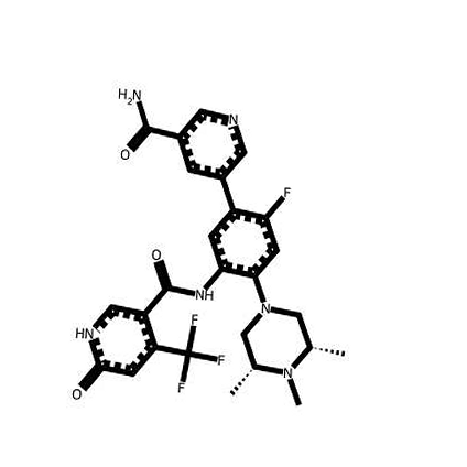 C[C@@H]1CN(c2cc(F)c(-c3cncc(C(N)=O)c3)cc2NC(=O)c2c[nH]c(=O)cc2C(F)(F)F)C[C@H](C)N1C